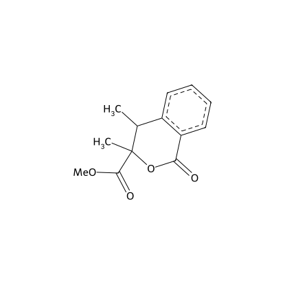 COC(=O)C1(C)OC(=O)c2ccccc2C1C